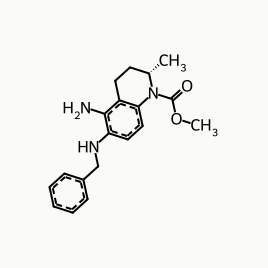 COC(=O)N1c2ccc(NCc3ccccc3)c(N)c2CC[C@@H]1C